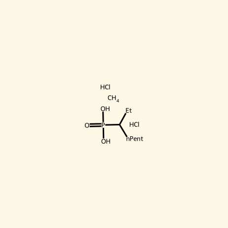 C.CCCCCC(CC)P(=O)(O)O.Cl.Cl